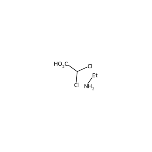 CCN.O=C(O)C(Cl)Cl